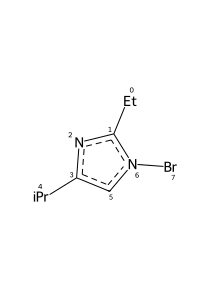 CCc1nc(C(C)C)cn1Br